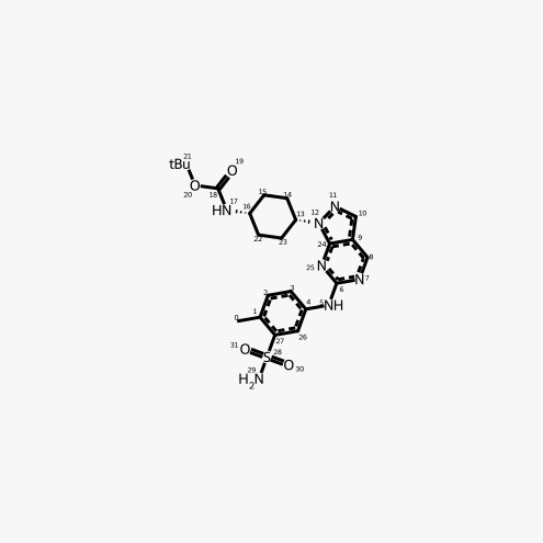 Cc1ccc(Nc2ncc3cnn([C@H]4CC[C@@H](NC(=O)OC(C)(C)C)CC4)c3n2)cc1S(N)(=O)=O